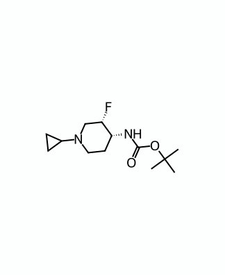 CC(C)(C)OC(=O)N[C@@H]1CCN(C2CC2)C[C@@H]1F